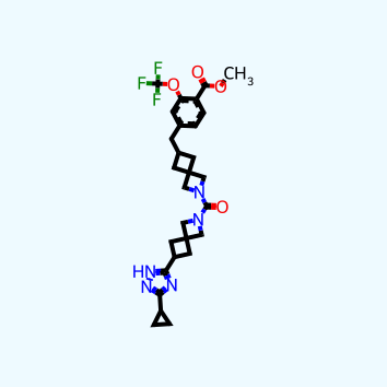 COC(=O)c1ccc(CC2CC3(C2)CN(C(=O)N2CC4(CC(c5nc(C6CC6)n[nH]5)C4)C2)C3)cc1OC(F)(F)F